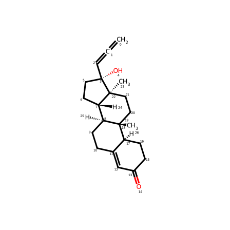 C=C=C[C@]1(O)CC[C@H]2[C@@H]3CCC4=CC(=O)CC[C@@H]4[C@@]3(C)CC[C@@]21C